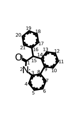 O=C1[N]c2ccccc2-c2ccccc2C1c1ccccc1